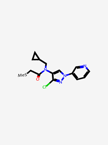 CSCC(=O)N(CC1CC1)c1cn(-c2cccnc2)nc1Cl